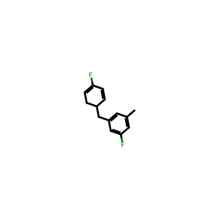 Cc1cc(F)cc(CC2C=CC(F)=CC2)c1